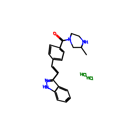 CC1CN(C(=O)c2ccc(C=Cc3n[nH]c4ccccc34)cc2)CCN1.Cl.Cl